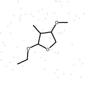 CCOC1OCC(OC)C1C